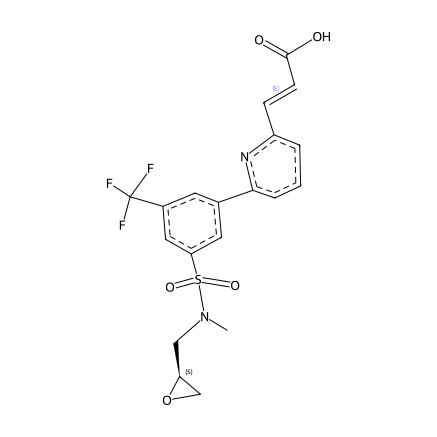 CN(C[C@H]1CO1)S(=O)(=O)c1cc(-c2cccc(/C=C/C(=O)O)n2)cc(C(F)(F)F)c1